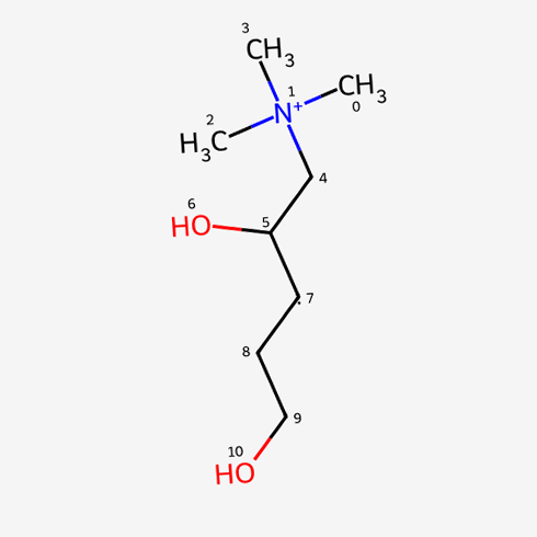 C[N+](C)(C)CC(O)[CH]CCO